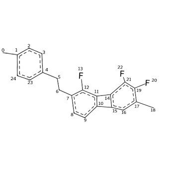 Cc1ccc(CCc2ccc3c(c2F)-c2c-3cc(C)c(F)c2F)cc1